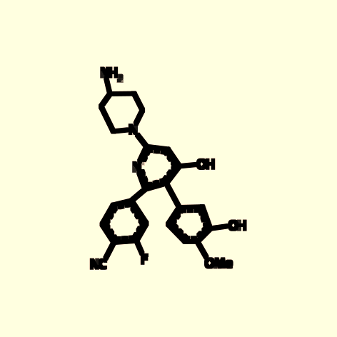 COc1ccc(-c2c(O)cc(N3CCC(N)CC3)nc2-c2ccc(C#N)c(F)c2)cc1O